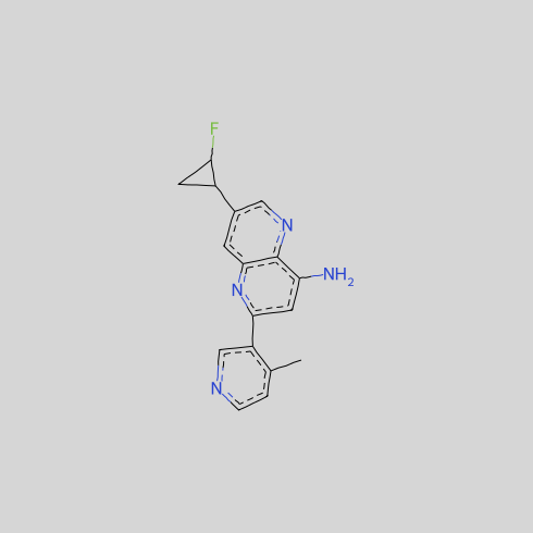 Cc1ccncc1-c1cc(N)c2ncc(C3CC3F)cc2n1